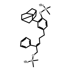 CC(C)(C)[Si](C)(C)OCC(=CCCc1ccc(O[Si](C)(C)C(C)(C)C)c(C23CC4CC(CC(C4)C2)C3)c1)c1ccccc1